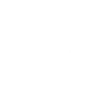 [CH2]CCC(C)c1cc2sc(OCCCC)cc2s1